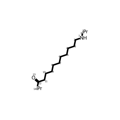 CC(C)NCCCCCCCCCCC(=O)C(C)C